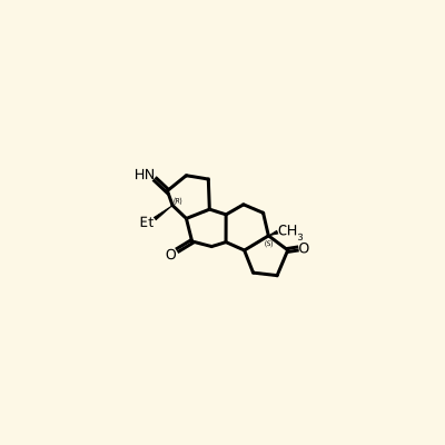 CC[C@H]1C(=N)CCC2C3CC[C@]4(C)C(=O)CCC4C3CC(=O)C21